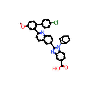 COc1ccc(-c2ccc(Cl)cc2)c(-c2ccc3cc(-c4nc5cc(C(=O)O)ccc5n4C4CC5CCC4C5)ccc3n2)c1